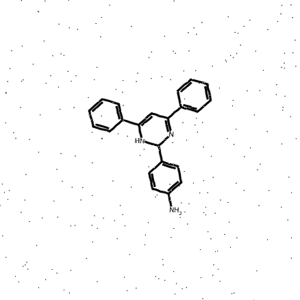 Nc1ccc(C2N=C(c3ccccc3)C=C(c3ccccc3)N2)cc1